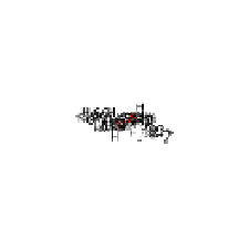 CC(C)[C@H](NC(=O)OCCF)C(=O)N1CCC[C@H]1c1nc2cc(-c3cc4ccc3CCc3ccc(c(-c5ccc6[nH]c([C@@H]7CCCN7C(=O)[C@@H](NC(=O)OCCF)C(C)C)nc6c5)c3)CC4)ccc2[nH]1